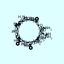 CCCC[C@H]1C(=O)N(C)[C@@H](CCCC)C(=O)N[C@@H](CCCNC(=N)N)C(=O)N[C@@H](C(=O)NCC(N)=O)CSCC(=O)N[C@@H](Cc2ccccc2)C(=O)N(C)[C@@H](C)C(=O)N[C@@H](CC(N)=O)C(=O)N2CCC[C@H]2C(=O)N[C@@H](Cc2cnc[nH]2)C(=O)N[C@@H](CC(C)C)C(=O)N2CCCC[C@H]2C(=O)N[C@@H](Cc2c[nH]c3ccccc23)C(=O)N[C@@H](CO)C(=O)N[C@@H](Cc2c[nH]c3ccccc23)C(=O)N1C